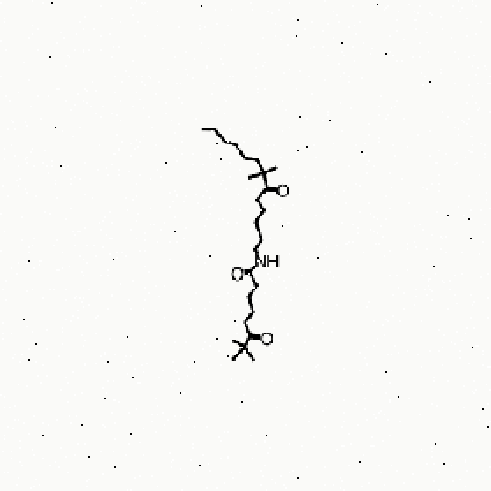 CCCCCCC(C)(C)C(=O)CCCCCNC(=O)CCCCC(=O)C(C)(C)C